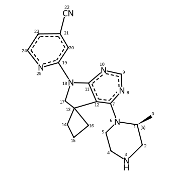 C[C@H]1CNCCN1c1ncnc2c1C1(CCC1)CN2c1cc(C#N)ccn1